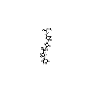 NC(=O)OCc1cn([C@H]2C[C@@H](NC(=O)c3cc(-c4ccccc4)on3)C2)nn1